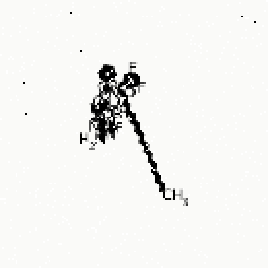 C#C[C@]1(CO[P@@](=O)(N[C@@H](Cc2cc(F)cc(F)c2)C(=O)OCCCCCCCCCCCCCCCCCCC)Oc2ccccc2)OCC[C@@]1(O)n1cnc2c(N)nc(F)nc21